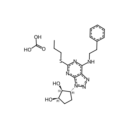 CCCSc1nc(NCCc2ccccc2)c2nnn([C@@H]3CC[C@@H](O)[C@H]3O)c2n1.O=C(O)O